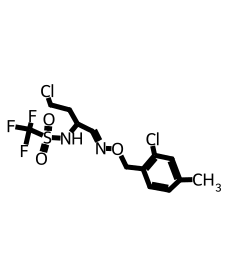 Cc1ccc(CON=CC(CCCl)NS(=O)(=O)C(F)(F)F)c(Cl)c1